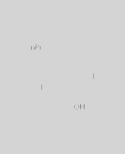 CCCC/C(I)=C(/O)I